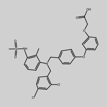 Cc1c(NS(C)(=O)=O)cccc1N(Cc1ccc(Oc2cccc(OCC(=O)O)c2)cc1)Cc1ccc(Cl)cc1Cl